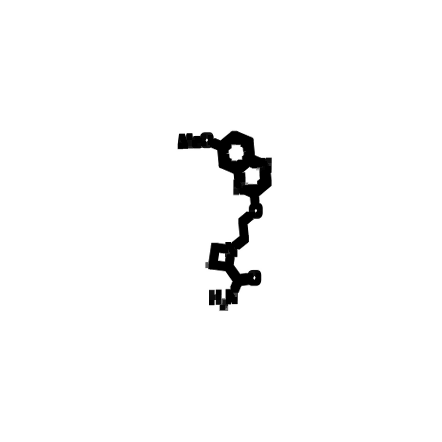 COc1ccc2ncc(OCCN3C[CH]C3C(N)=O)nc2c1